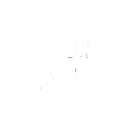 CCOC(=O)C1(CC)CCC(=O)CC1